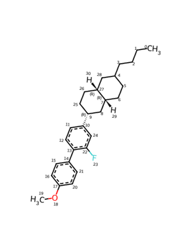 CCCCC1CC[C@@H]2C[C@H](c3ccc(-c4ccc(OC)cc4)c(F)c3)CC[C@@H]2C1